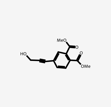 COC(=O)c1ccc(C#CCO)cc1C(=O)OC